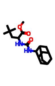 COC(=O)C(CC(C)(C)C)NC(=O)NC1C2CC3CC(C2)CC1C3